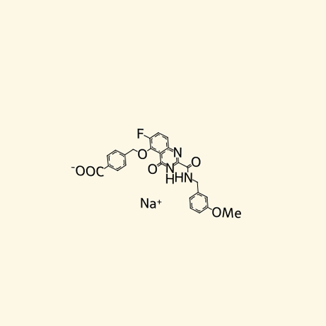 COc1cccc(CNC(=O)c2nc3ccc(F)c(OCc4ccc(C(=O)[O-])cc4)c3c(=O)[nH]2)c1.[Na+]